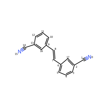 N#Cc1cccc(C=Cc2cccc(C#N)c2)c1